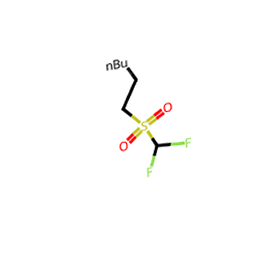 [CH2]CCCCCS(=O)(=O)C(F)F